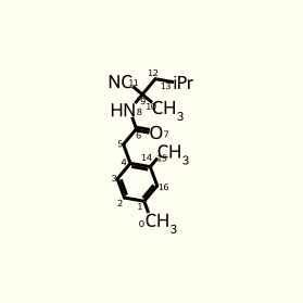 Cc1ccc(CC(=O)NC(C)(C#N)CC(C)C)c(C)c1